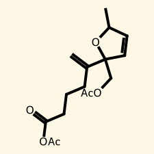 C=C(CCCC(=O)OC(C)=O)C1(COC(C)=O)C=CC(C)O1